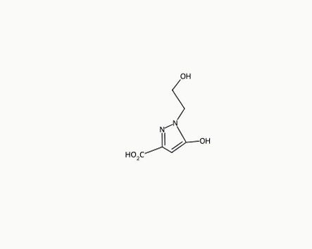 O=C(O)c1cc(O)n(CCO)n1